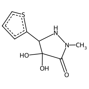 CN1NC(c2cccs2)C(O)(O)C1=O